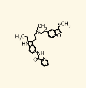 CCc1[nH]c2ccc(NC(=O)c3ccccn3)cc2c1CCN(CC)CCc1ccc2occ(SC)c2c1